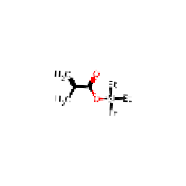 C=C(C)C(=O)O[Si](CC)(CC)CC